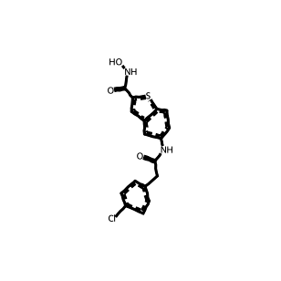 O=C(Cc1ccc(Cl)cc1)Nc1ccc2sc(C(=O)NO)cc2c1